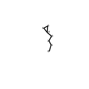 CCC[CH]C1CC1